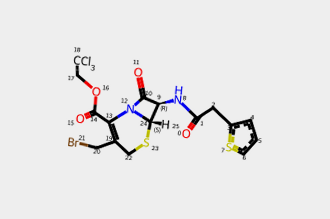 O=C(Cc1cccs1)N[C@@H]1C(=O)N2C(C(=O)OCC(Cl)(Cl)Cl)=C(CBr)CS[C@@H]12